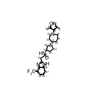 Cc1noc(C)c1N1CCCC(N2CCC(NC(=O)Cc3nc4c(C(F)(F)F)cccc4[nH]3)C2)CC1